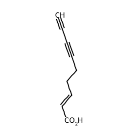 C#CC#CCCC=CC(=O)O